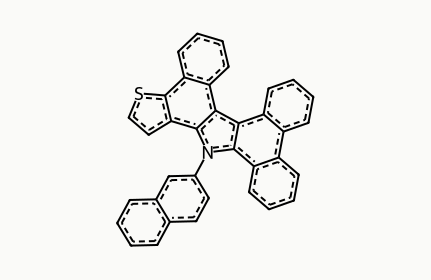 c1ccc2cc(-n3c4c5ccccc5c5ccccc5c4c4c5ccccc5c5sccc5c43)ccc2c1